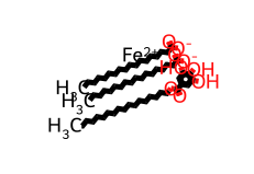 CCCCCCCCCCCCCCCCCC(=O)[O-].CCCCCCCCCCCCCCCCCC(=O)[O-].CCCCCCCCCCCCCCCCCCOC(=O)c1cc(O)c(O)c(O)c1.[Fe+2]